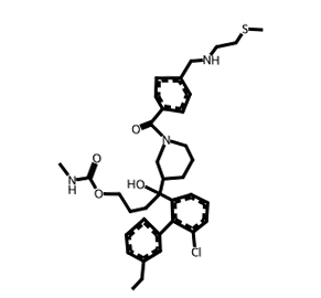 CCc1cccc(-c2c(Cl)cccc2C(O)(CCCOC(=O)NC)C2CCCN(C(=O)c3ccc(CNCCSC)cc3)C2)c1